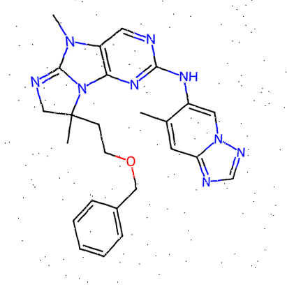 Cc1cc2ncnn2cc1Nc1ncc2c(n1)N1C(=NCC1(C)CCOCc1ccccc1)N2C